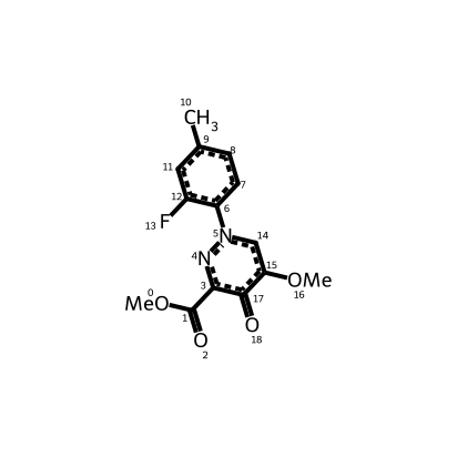 COC(=O)c1nn(-c2ccc(C)cc2F)cc(OC)c1=O